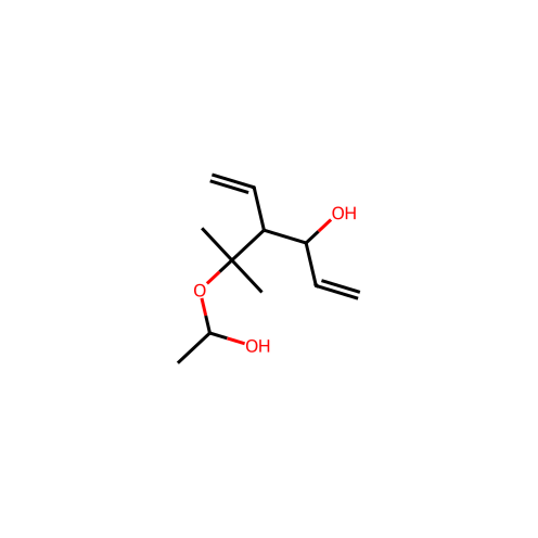 C=CC(O)C(C=C)C(C)(C)OC(C)O